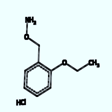 CCOc1ccccc1CON.Cl